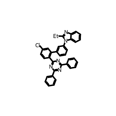 CCc1nc2ccccc2n1-c1cccc(-c2cc(Cl)ccc2-c2nc(-c3ccccc3)nc(-c3ccccc3)n2)c1